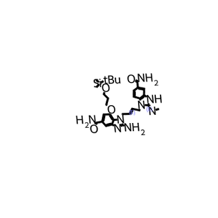 C/N=c1\[nH]c2cc(C(N)=O)ccc2n1C/C=C/Cn1c(N)nc2cc(C(N)=O)cc(OCCCO[Si](C)(C)C(C)(C)C)c21